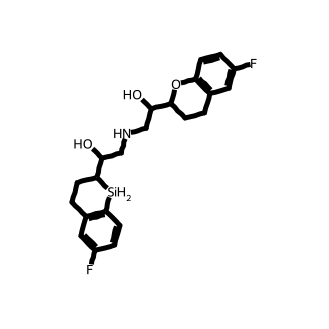 OC(CNCC(O)C1CCc2cc(F)ccc2[SiH2]1)C1CCc2cc(F)ccc2O1